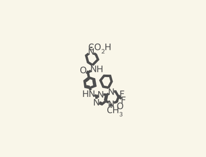 CN1C(=O)C(F)(F)CN(C2CCCCC2)c2nc(Nc3ccc(C(=O)NC4CCN(C(=O)O)CC4)cc3)ncc21